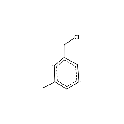 Cc1[c]c(CCl)c[c]c1